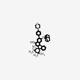 CC1(C)CC(C)(C)CC2(C1)c1ccccc1-c1c2cc(O)c2cc(-c3ccc(N4CCOCC4)cc3)c(OC34CC5CC(CC(C5)C3)C4)cc12